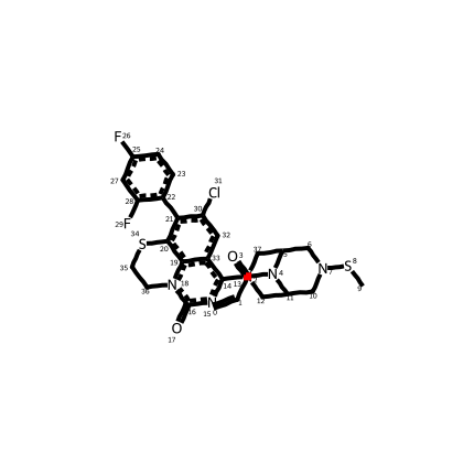 C=CC(=O)N1C2CN(SC)CC1CN(c1nc(=O)n3c4c(c(-c5ccc(F)cc5F)c(Cl)cc14)SCC3)C2